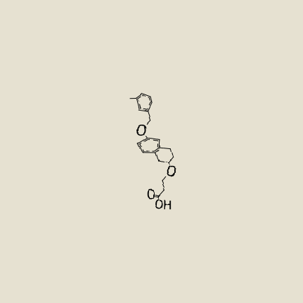 Cc1cccc(COc2ccc3c(c2)CCC(OCCC(=O)O)C3)c1